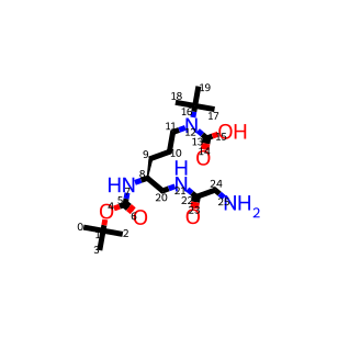 CC(C)(C)OC(=O)N[C@@H](CCCN(C(=O)O)C(C)(C)C)CNC(=O)CN